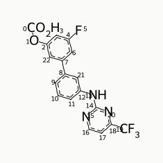 O=C(O)Oc1cc(F)cc(-c2cccc(Nc3nccc(C(F)(F)F)n3)c2)c1